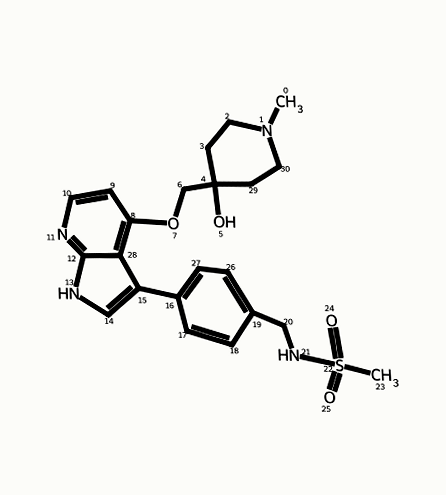 CN1CCC(O)(COc2ccnc3[nH]cc(-c4ccc(CNS(C)(=O)=O)cc4)c23)CC1